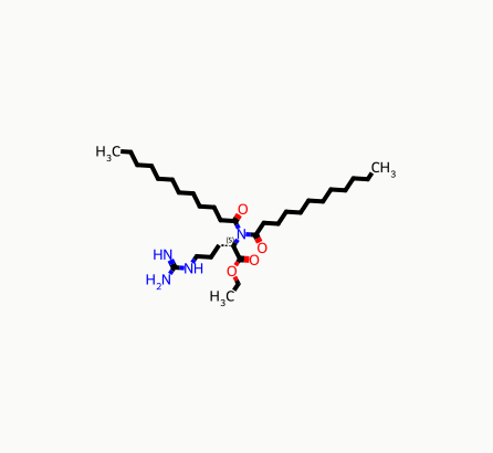 CCCCCCCCCCCC(=O)N(C(=O)CCCCCCCCCCC)[C@@H](CCCNC(=N)N)C(=O)OCC